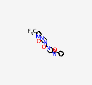 O=C(CN1CCN(c2ccc(C(F)(F)F)cn2)C(=O)C1)N1CCc2nc(-c3ccccc3)oc2C1